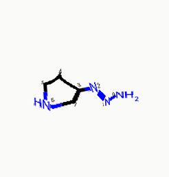 NN=NC1CCNC1